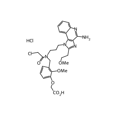 COCCc1nc2c(N)nc3ccccc3c2n1CCCN(Cc1cccc(OCC(=O)O)c1OC)C(=O)CCl.Cl